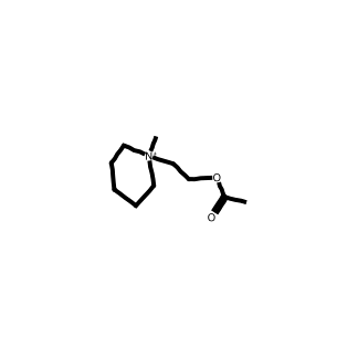 CC(=O)OCC[N+]1(C)CCCCC1